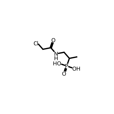 CC(CNC(=O)CCl)P(=O)(O)O